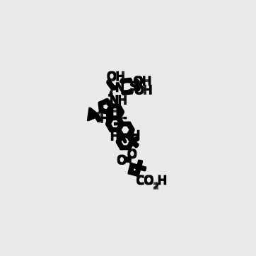 CC1([C@@H]2CC[C@]3(NC[C@H](CO)N4CCS(O)(O)CC4)CC[C@]4(C)[C@H](CC[C@@H]5[C@@]6(C)CC[C@H](OC(=O)[C@H]7C[C@@H](C(=O)O)C7(C)C)C(C)(C)[C@@H]6CC[C@]54C)[C@@H]23)CC1